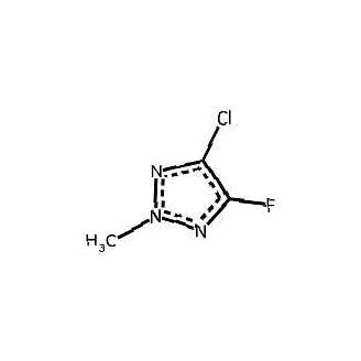 Cn1nc(F)c(Cl)n1